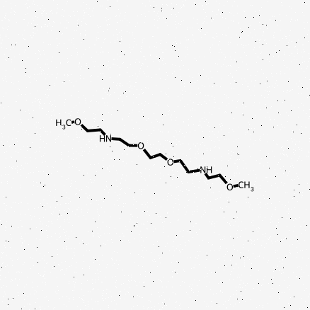 COCCNCCOCCOCCNCCOC